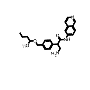 CCCC(O)OCc1ccc(C(CN)C(=O)Nc2ccc3cnccc3c2)cc1